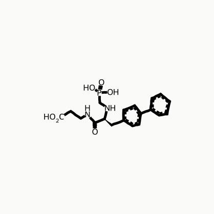 O=C(O)CCNC(=O)[C@H](Cc1ccc(-c2ccccc2)cc1)NCP(=O)(O)O